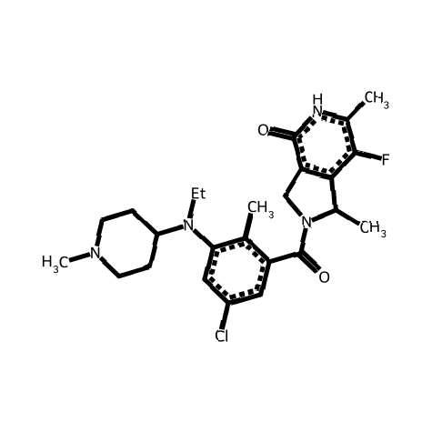 CCN(c1cc(Cl)cc(C(=O)N2Cc3c(c(F)c(C)[nH]c3=O)C2C)c1C)C1CCN(C)CC1